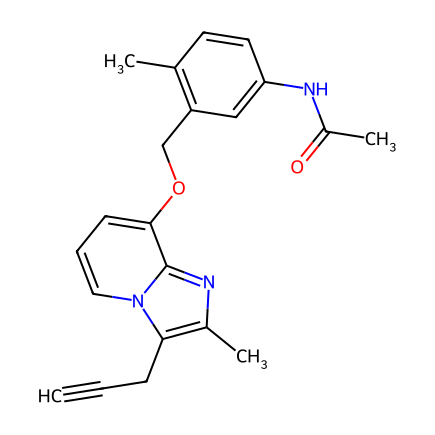 C#CCc1c(C)nc2c(OCc3cc(NC(C)=O)ccc3C)cccn12